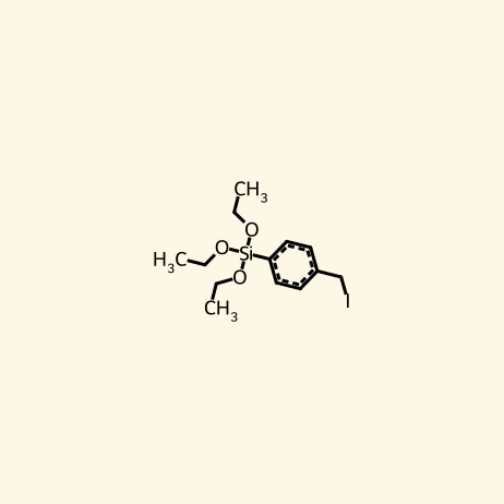 CCO[Si](OCC)(OCC)c1ccc(CI)cc1